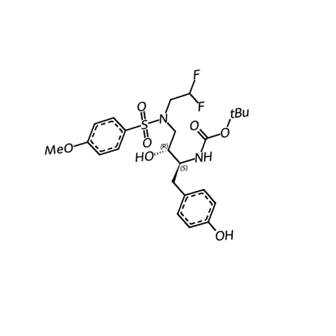 COc1ccc(S(=O)(=O)N(CC(F)F)C[C@@H](O)[C@H](Cc2ccc(O)cc2)NC(=O)OC(C)(C)C)cc1